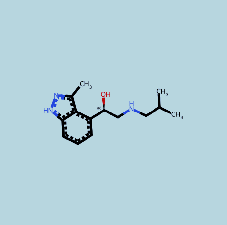 Cc1n[nH]c2cccc([C@@H](O)CNCC(C)C)c12